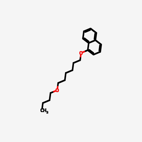 CCCCOCCCCCCOc1cccc2ccccc12